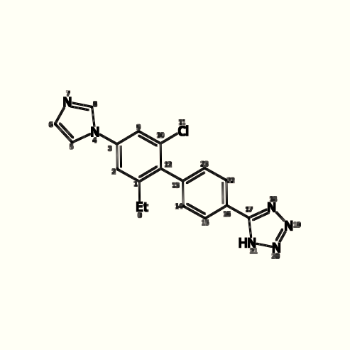 CCc1cc(-n2ccnc2)cc(Cl)c1-c1ccc(-c2nnn[nH]2)cc1